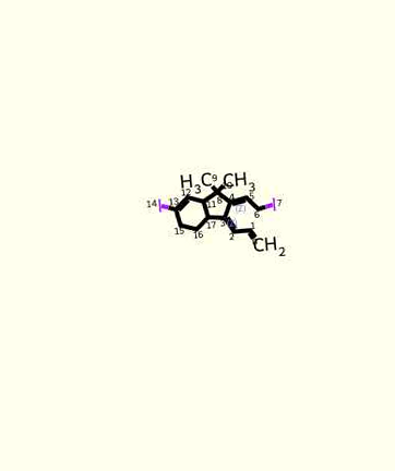 C=C/C=C1\C(=C/CI)C(C)(C)C2C=C(I)CCC12